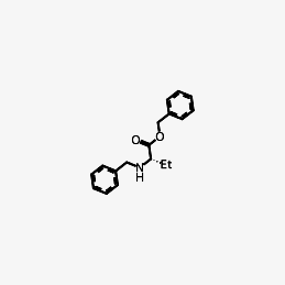 CC[C@H](NCc1ccccc1)C(=O)OCc1ccccc1